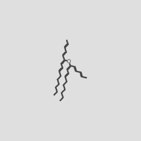 CC=CC=CC(=CC=CCCCCCC)OC(C=CC=CC)=CC=CCCCCCC